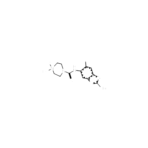 CC(C)(C)c1nc2cc(Cl)c(NC(=S)N3CC[N+](C)([O-])CC3)cc2o1